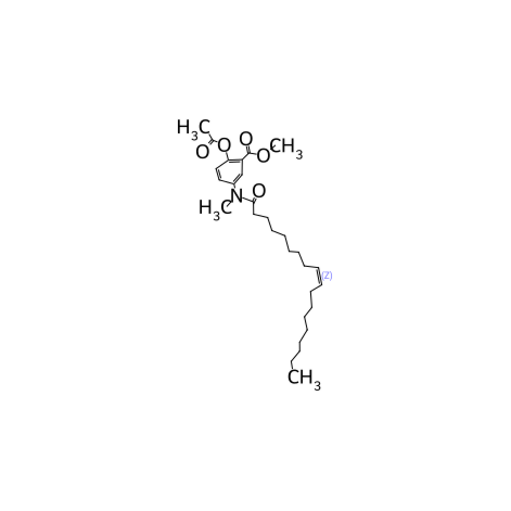 CCCCCCCC/C=C\CCCCCCCC(=O)N(C)c1ccc(OC(C)=O)c(C(=O)OC)c1